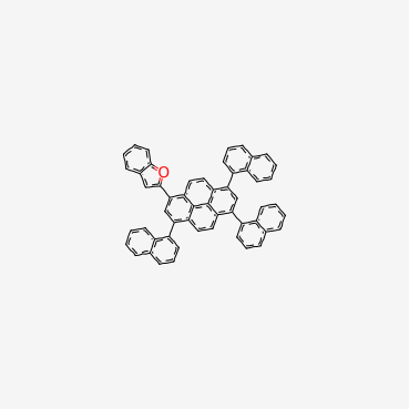 c1ccc2oc(-c3cc(-c4cccc5ccccc45)c4ccc5c(-c6cccc7ccccc67)cc(-c6cccc7ccccc67)c6ccc3c4c65)cc2c1